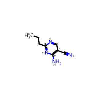 CCCc1ncc(C#N)c(N)n1